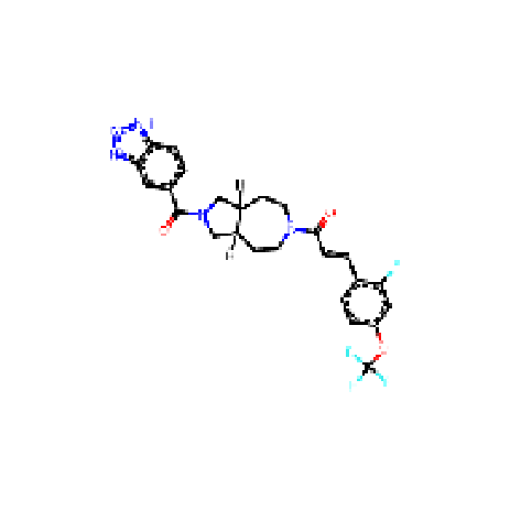 O=C(C=Cc1ccc(OC(F)(F)F)cc1F)N1CC[C@@H]2CN(C(=O)c3ccc4[nH]nnc4c3)C[C@@H]2CC1